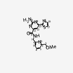 COCc1cccc(CNC(=O)c2cc(-c3nccs3)nc(N)n2)n1